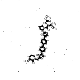 COC(=O)N[C@H](C(=O)N1CCC[C@H]1c1ncc(-c2ccc(-c3ccc(-c4cnc(CN5CCC[C@@H](N)C5=O)[nH]4)cc3)cc2)[nH]1)C(C)C